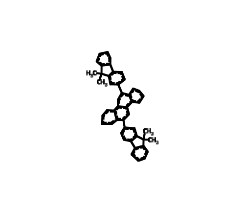 CC1(C)c2ccccc2-c2ccc(-c3cc4c5ccccc5c(-c5ccc6c(c5)C(C)(C)c5ccccc5-6)cc4c4ccccc34)cc21